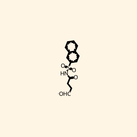 O=[C]CCC(=O)NS(=O)(=O)c1ccc2ccccc2c1